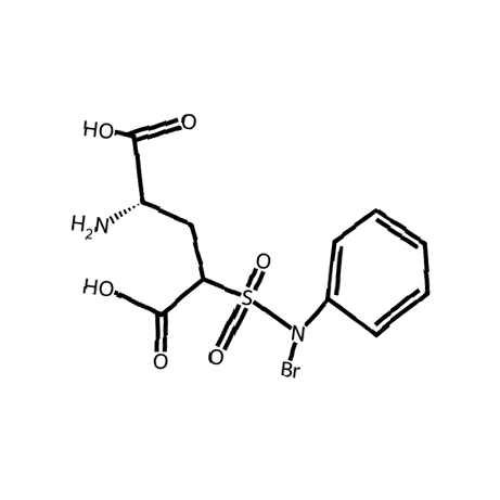 N[C@@H](CC(C(=O)O)S(=O)(=O)N(Br)c1ccccc1)C(=O)O